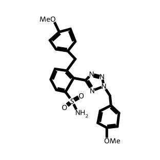 COc1ccc(Cc2cccc(S(N)(=O)=O)c2-c2nnn(Cc3ccc(OC)cc3)n2)cc1